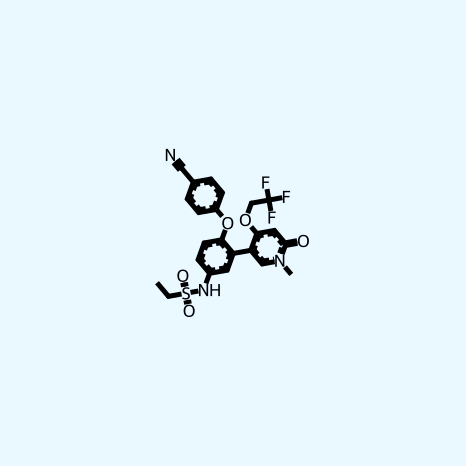 CCS(=O)(=O)Nc1ccc(Oc2ccc(C#N)cc2)c(-c2cn(C)c(=O)cc2OCC(F)(F)F)c1